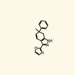 CC1(c2ccccc2)C=Cc2c(-c3ncco3)n[nH]c2C1